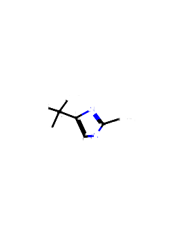 CCCC(C)c1nc(C(C)(C)CCC)c[nH]1